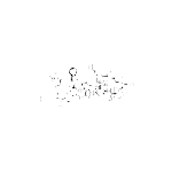 CCC(C)C(NC(=O)C(Cc1ccccc1)NC(=O)C(C)C(OC)C1CCCN1C(=O)CC(OC)C(C(C)CC)N(C)C(=O)C(NC(=O)C(C(C)C)N(C)CC(O)C(O)C(O)C(O)CN=[N+]=[N-])C(C)C)C(=O)NC(C(=O)NC(COC1OC(CO)C(O)C(O)C1NC(C)=O)C(=O)O)C(C)C